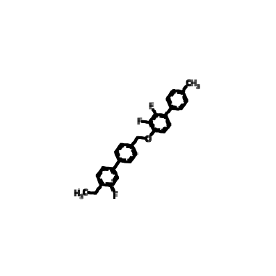 CCc1ccc(-c2ccc(COc3ccc(-c4ccc(C)cc4)c(F)c3F)cc2)cc1F